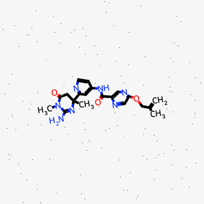 C=C(C)COc1cnc(C(=O)Nc2ccnc(C3(C)CC(=O)N(C)C(N)=N3)c2)cn1